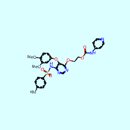 COc1ccc(Oc2c(NS(=O)(=O)c3ccc(C(C)(C)C)cc3)ncnc2OCCOC(=O)Nc2ccncc2)cc1OC